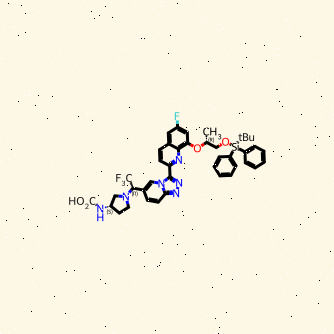 C[C@H](CO[Si](c1ccccc1)(c1ccccc1)C(C)(C)C)Oc1cc(F)cc2ccc(-c3nnc4ccc([C@@H](N5CC[C@H](NC(=O)O)C5)C(F)(F)F)cn34)nc12